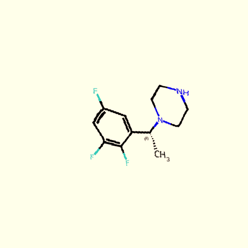 C[C@H](c1cc(F)cc(F)c1F)N1CCNCC1